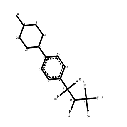 CC1CCC(c2ccc(C(F)(F)C(F)C(F)(F)F)cc2)CC1